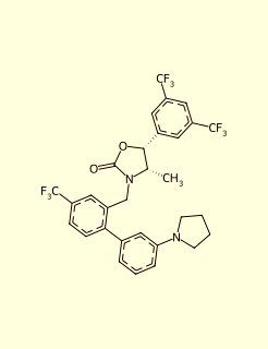 C[C@H]1[C@@H](c2cc(C(F)(F)F)cc(C(F)(F)F)c2)OC(=O)N1Cc1cc(C(F)(F)F)ccc1-c1cccc(N2CCCC2)c1